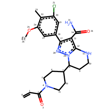 C=CC(=O)N1CCC(C2CCNc3c(C(N)=O)c(-c4cc(Cl)c(C)c(OCC)c4)nn32)CC1